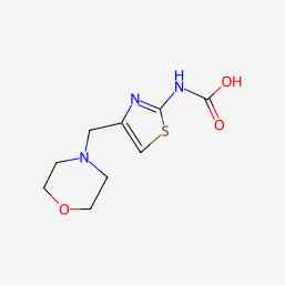 O=C(O)Nc1nc(CN2CCOCC2)cs1